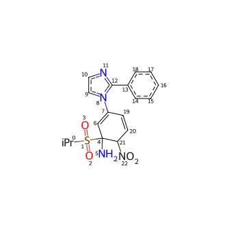 CC(C)S(=O)(=O)C1(N)C=C(n2ccnc2-c2ccccc2)C=CC1[N+](=O)[O-]